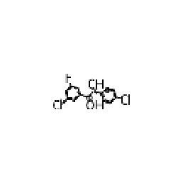 C[C@H](c1ccc(Cl)cc1)[C@@H](O)c1cc(F)cc(Cl)c1